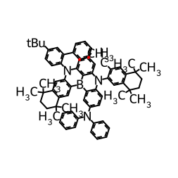 Cc1cc2c3c(c1)N(c1ccc(C(C)(C)C)cc1-c1ccccc1)c1cc4c(cc1B3c1cc(N(c3ccccc3)c3ccccc3)ccc1N2c1cc2c(cc1C)C(C)(C)CCC2(C)C)C(C)(C)CCC4(C)C